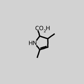 CC1=CC(C)C(C(=O)O)N1